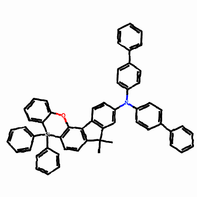 CC1(C)c2cc(N(c3ccc(-c4ccccc4)cc3)c3ccc(-c4ccccc4)cc3)ccc2-c2c1ccc1c2Oc2ccccc2[Si]1(c1ccccc1)c1ccccc1